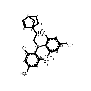 Cc1cc(C)c(B(CCC23C=CC(CC2)C3)c2c(C)cc(C)cc2C)c(C)c1